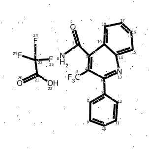 NC(=O)c1c(C(F)(F)F)c(-c2ccccc2)nc2ccccc12.O=C(O)C(F)(F)F